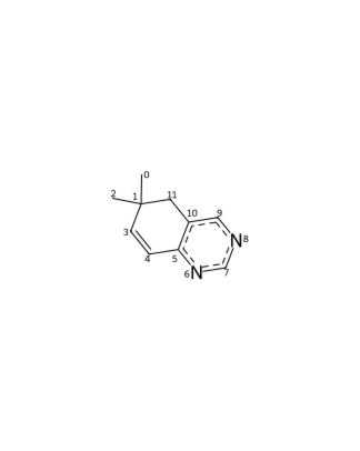 CC1(C)C=Cc2ncncc2C1